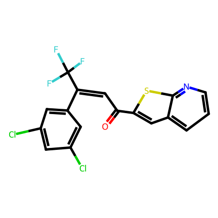 O=C(/C=C(\c1cc(Cl)cc(Cl)c1)C(F)(F)F)c1cc2cccnc2s1